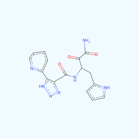 NC(=O)C(=O)C(Cc1ccc[nH]1)NC(=O)c1nn[nH]c1-c1ccccn1